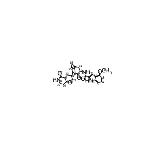 COc1cccc2[nH]c(C(=O)NC(CC3CC3)C(=O)NC(C=O)CC3CCCNC3=O)cc12